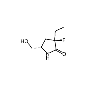 CC[C@@]1(F)C[C@@H](CO)NC1=O